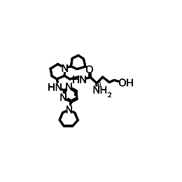 N[C@@H](CCCO)C(=O)NCCC1C(Nc2nccc(N3CCCCCC3)n2)CCCN1C1CCCCC1